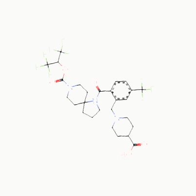 O=C(O)C1CCN(Cc2cc(C(F)(F)F)ccc2C(=O)N2CCCC23CCN(C(=O)OC(C(F)(F)F)C(F)(F)F)CC3)CC1